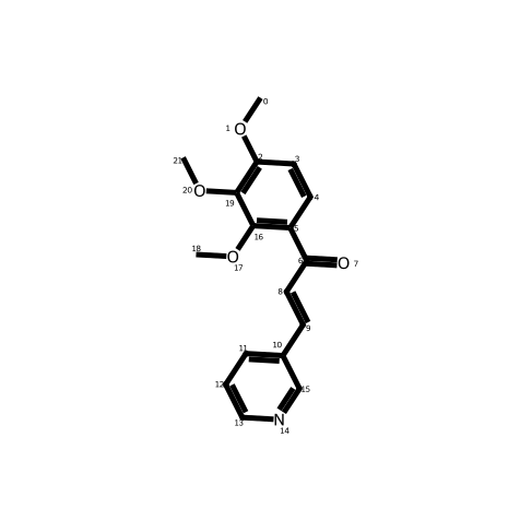 COc1ccc(C(=O)C=Cc2cccnc2)c(OC)c1OC